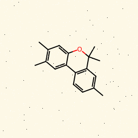 Cc1ccc2c(c1)C(C)(C)Oc1cc(C)c(C)cc1-2